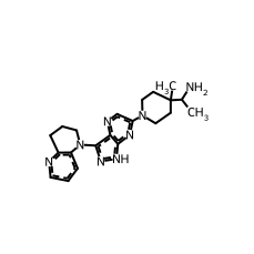 CC(N)C1(C)CCN(c2cnc3c(N4CCCc5ncccc54)n[nH]c3n2)CC1